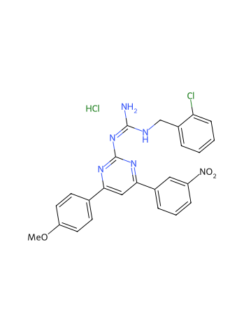 COc1ccc(-c2cc(-c3cccc([N+](=O)[O-])c3)nc(N=C(N)NCc3ccccc3Cl)n2)cc1.Cl